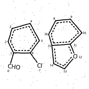 O=Cc1ccccc1Cl.c1ccc2occc2c1